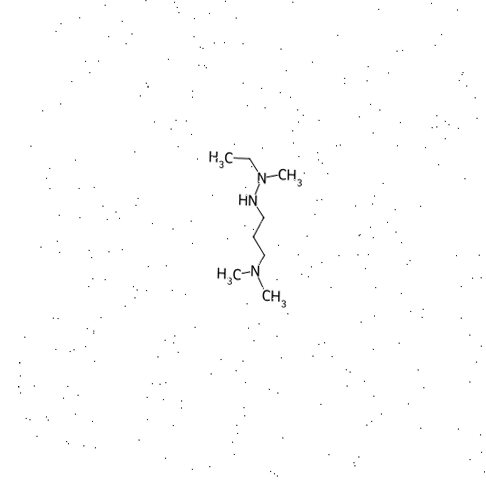 CCN(C)NCCCN(C)C